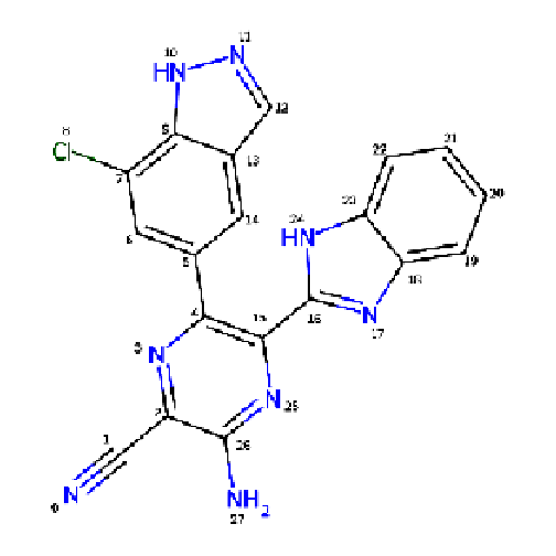 N#Cc1nc(-c2cc(Cl)c3[nH]ncc3c2)c(-c2nc3ccccc3[nH]2)nc1N